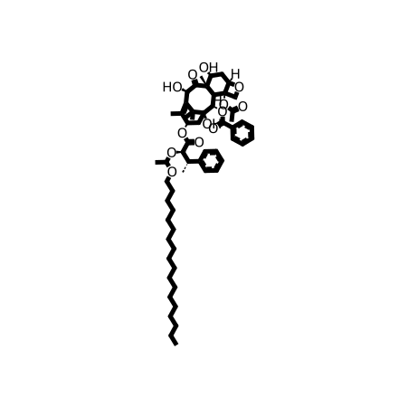 CCCCCCCCCCCCCCCCCCOC(C)O[C@@H](C(=O)O[C@H]1C[C@@]2(O)[C@@H](OC(=O)c3ccccc3)[C@@H]3[C@]4(OC(C)=O)CO[C@@H]4C[C@H](O)[C@@]3(C)C(=O)[C@H](O)C(=C1C)C2(C)C)[C@@H](C)c1ccccc1